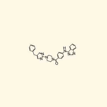 O=C(c1ccc(Nc2ncnc3ccccc23)cc1)N1CCN(c2ncc(Cc3ccccc3)cn2)CC1